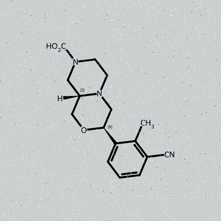 Cc1c(C#N)cccc1[C@@H]1CN2CCN(C(=O)O)C[C@H]2CO1